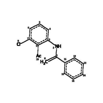 C=C(Nc1cccc(Cl)c1C(C)=O)c1ccccc1